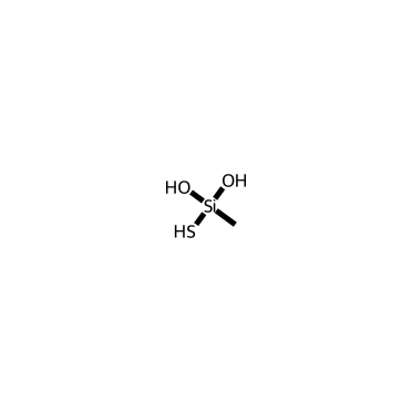 C[Si](O)(O)S